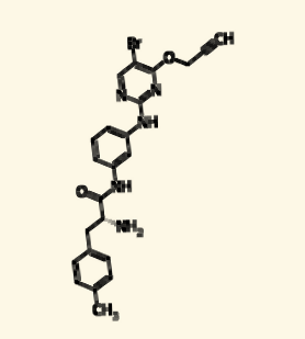 C#CCOc1nc(Nc2cccc(NC(=O)[C@H](N)Cc3ccc(C)cc3)c2)ncc1Br